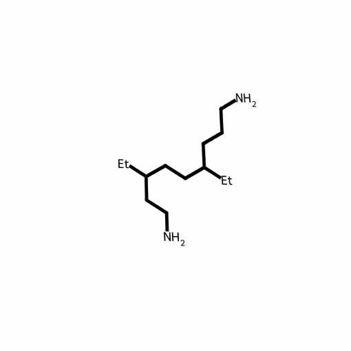 CCC(CCN)CCC(CC)CCCN